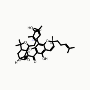 CC(C)=CCC[C@]1(C)C=Cc2c(O)c3c(c(CC=C(C)C)c2O1)O[C@]12C(=C[C@@H]4CC1C(C)(C)OC2(C/C=C(\C)C(=O)O)C4=O)C3=O